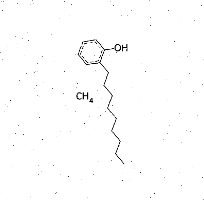 C.CCCCCCCCCc1ccccc1O